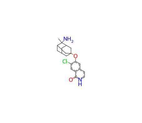 CC1(N)C2CC3CC1CC(Oc1cc4cc[nH]c(=O)c4cc1Cl)(C3)C2